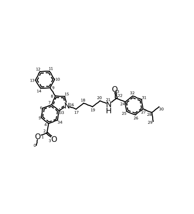 COC(=O)c1ccc2c(-c3ccccc3)cn(CCCCNC(=O)c3ccc(C(C)C)cc3)c2c1